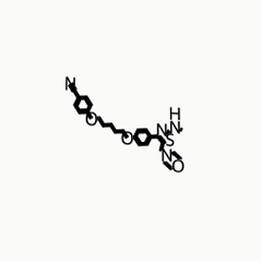 CNc1nc(-c2ccc(OCCCCCOc3ccc(C#N)cc3)cc2)c(CN2CCOCC2)s1